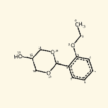 CCOc1ccccc1C1OCC(O)CO1